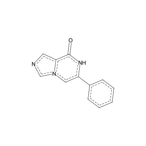 O=c1[nH]c(-c2ccccc2)cn2cncc12